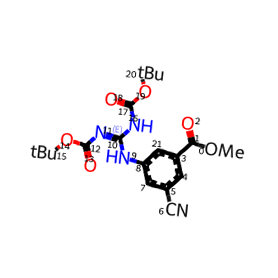 COC(=O)c1cc(C#N)cc(N/C(=N\C(=O)OC(C)(C)C)NC(=O)OC(C)(C)C)c1